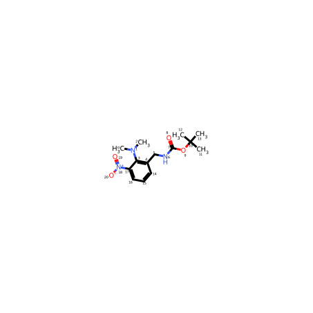 CN(C)c1c(CNC(=O)OC(C)(C)C)cccc1[N+](=O)[O-]